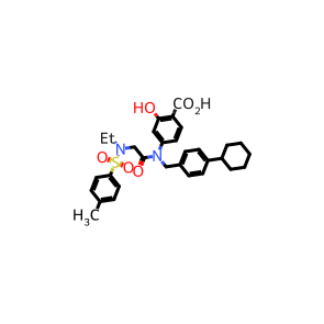 CCN(CC(=O)N(Cc1ccc(C2CCCCC2)cc1)c1ccc(C(=O)O)c(O)c1)S(=O)(=O)c1ccc(C)cc1